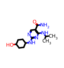 CC(C)Nc1nc(NC2CCC(O)CC2)ncc1C(N)=O